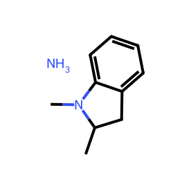 CC1Cc2ccccc2N1C.N